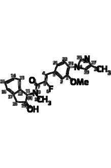 COc1cc(C=C(F)C(=O)N(C)[C@@H]2c3ccccc3C[C@@H]2O)ccc1-n1cnc(C)c1